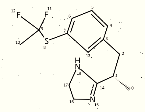 C[C@@H](Cc1cccc(SC(C)(F)F)c1)C1=NCCN1